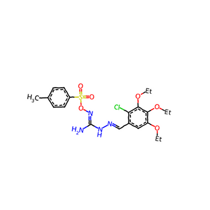 CCOc1cc(C=NNC(N)=NOS(=O)(=O)c2ccc(C)cc2)c(Cl)c(OCC)c1OCC